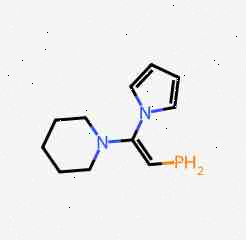 PC=C(N1CCCCC1)n1cccc1